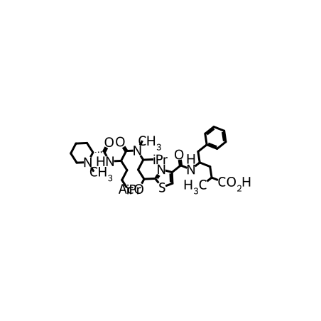 CC(=O)OC(CC(C(C)C)N(C)C(=O)C(CCC(C)C)NC(=O)[C@H]1CCCCN1C)c1nc(C(=O)NC(Cc2ccccc2)CC(C)C(=O)O)cs1